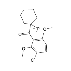 COc1ccc(Cl)c(OC)c1C(=O)C1(P)CCCCC1